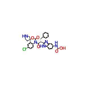 O=C(O)Nc1ccc2[nH]c([C@@H](Cc3ccccc3)C(=O)N3C(=O)O[C@]4(CCNC4)c4cc(Cl)ccc43)nc2c1